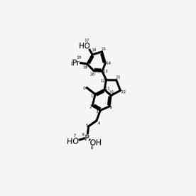 Cc1cc(CCP(O)O)cc2c1C(c1ccc(O)c(C(C)C)c1)CC2